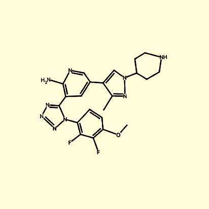 COc1ccc(-n2nnnc2-c2cc(-c3cn(C4CCNCC4)nc3C)cnc2N)c(F)c1F